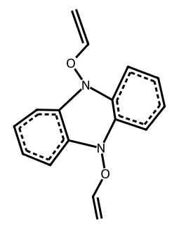 C=CON1c2ccccc2N(OC=C)c2ccccc21